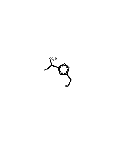 CCOC(=O)C(c1cc(CO)no1)C(C)C